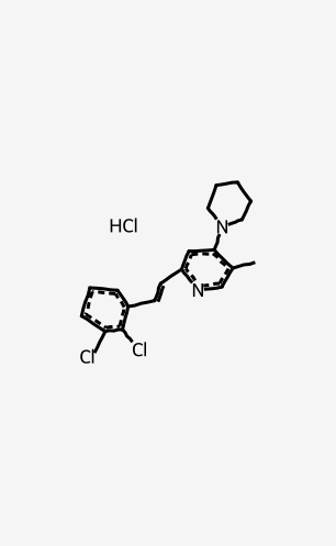 Cc1cnc(/C=C/c2cccc(Cl)c2Cl)cc1N1CCCCC1.Cl